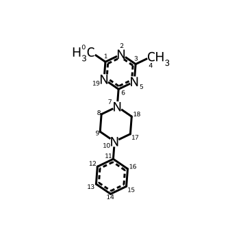 Cc1nc(C)nc(N2CCN(c3ccccc3)CC2)n1